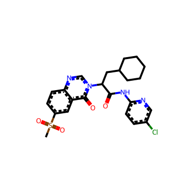 CS(=O)(=O)c1ccc2ncn(C(CC3CCCCC3)C(=O)Nc3ccc(Cl)cn3)c(=O)c2c1